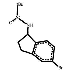 CC(C)(C)[S+]([O-])NC1CCc2cc(Br)ccc21